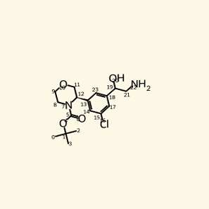 CC(C)(C)OC(=O)N1CCOC[C@H]1c1cc(Cl)cc(C(O)CN)c1